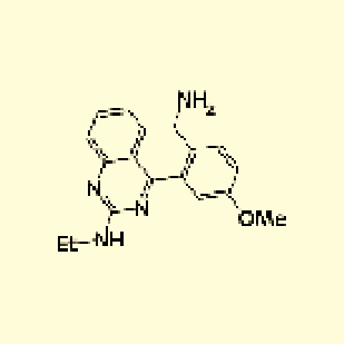 CCNc1nc(-c2cc(OC)ccc2CN)c2ccccc2n1